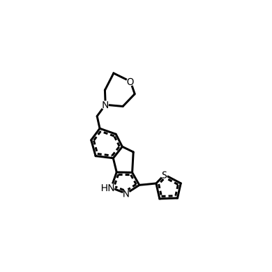 c1csc(-c2n[nH]c3c2Cc2cc(CN4CCOCC4)ccc2-3)c1